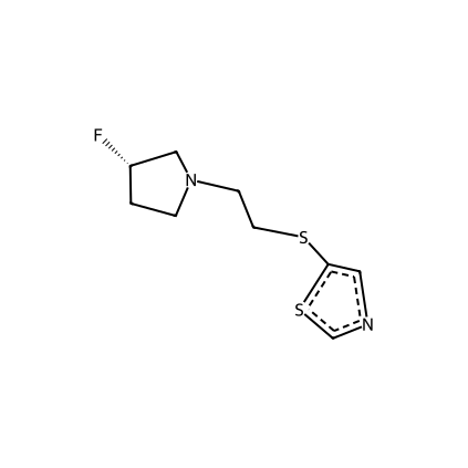 F[C@H]1CCN(CCSc2cncs2)C1